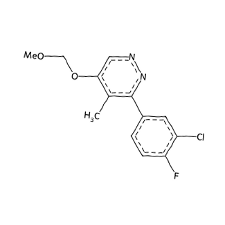 COCOc1cnnc(-c2ccc(F)c(Cl)c2)c1C